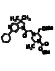 COC[C@H]1CN(C(=O)OC(C)(C)C)[C@H](C)CN1CC(=O)N1CC(C)(C)c2cnc(C3CCCCC3)cc21